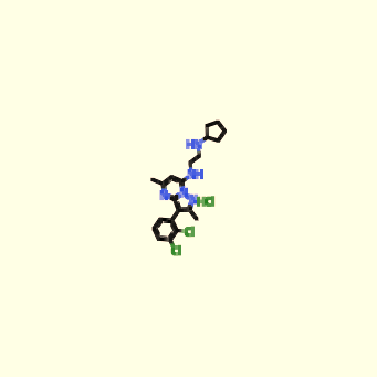 Cc1cc(NCCNC2CCCC2)n2nc(C)c(-c3cccc(Cl)c3Cl)c2n1.Cl